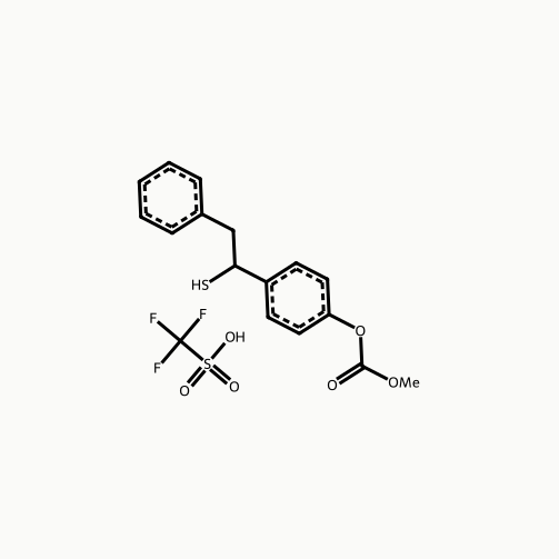 COC(=O)Oc1ccc(C(S)Cc2ccccc2)cc1.O=S(=O)(O)C(F)(F)F